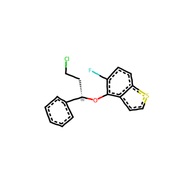 Fc1ccc2sccc2c1O[C@@H](CCCl)c1ccccc1